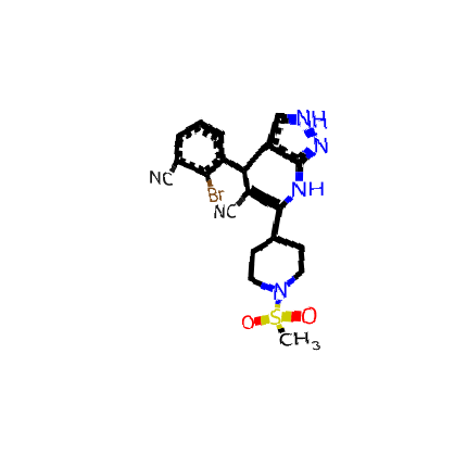 CS(=O)(=O)N1CCC(C2=C(C#N)C(c3cccc(C#N)c3Br)c3c[nH]nc3N2)CC1